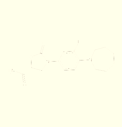 NC(=O)[C@H]1CN(c2ccc(N3CCCSCC3)c(F)c2)C(=O)O1